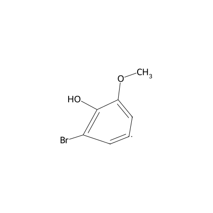 COc1c[c]cc(Br)c1O